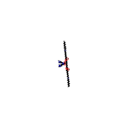 CCCCCCCC/C=C/CCCCCCCC(=O)OCCCC(CCCOC(=O)CCCCCCC/C=C/CCCCCCCC)OC(=O)N(CCCN(C)C)CCCN(C)C